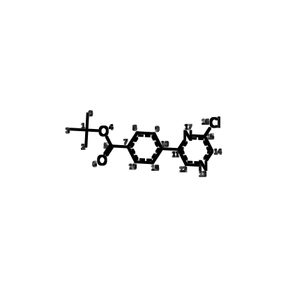 CC(C)(C)OC(=O)c1ccc(-c2cncc(Cl)n2)cc1